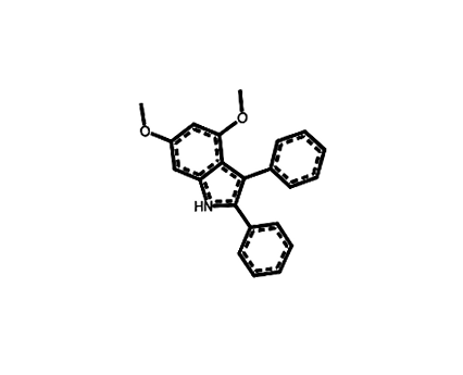 COc1cc(OC)c2c(-c3ccccc3)c(-c3ccccc3)[nH]c2c1